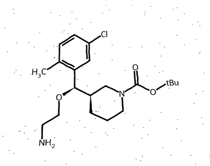 Cc1ccc(Cl)cc1[C@H](OCCN)[C@@H]1CCCN(C(=O)OC(C)(C)C)C1